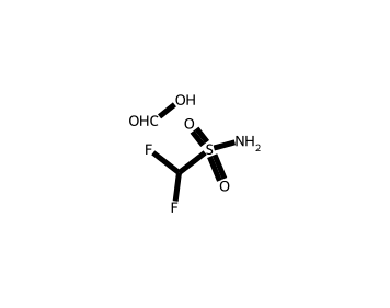 NS(=O)(=O)C(F)F.O=CO